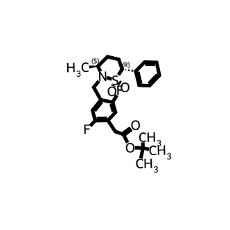 C[C@H]1CC[C@H](c2ccccc2)S(=O)(=O)N1Cc1cc(F)c(CC(=O)OC(C)(C)C)cc1F